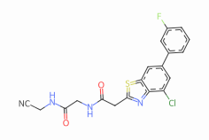 N#CCNC(=O)CNC(=O)Cc1nc2c(Cl)cc(-c3cccc(F)c3)cc2s1